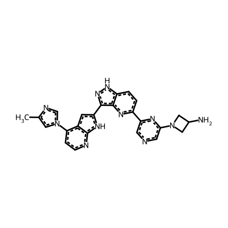 Cc1cn(-c2ccnc3[nH]c(-c4n[nH]c5ccc(-c6cncc(N7CC(N)C7)n6)nc45)cc23)cn1